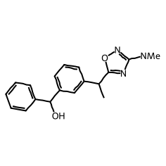 CNc1noc(C(C)c2cccc(C(O)c3ccccc3)c2)n1